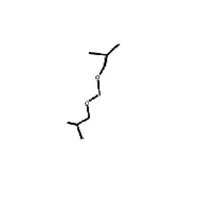 CC(C)CO[B]OCC(C)C